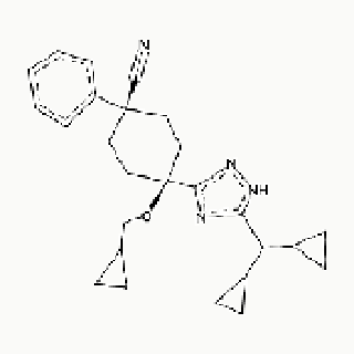 N#C[C@]1(c2ccccc2)CC[C@@](OCC2CC2)(c2n[nH]c(C(C3CC3)C3CC3)n2)CC1